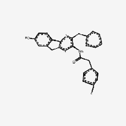 O=C(Cc1ccc(Cl)cc1)Nc1nc2c(nc1Cc1ccccc1)-c1ccc(O)cc1C2